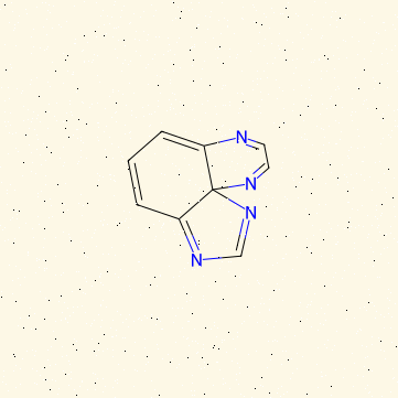 C1=CC2=NC=NC23N=CC=NC3=C1